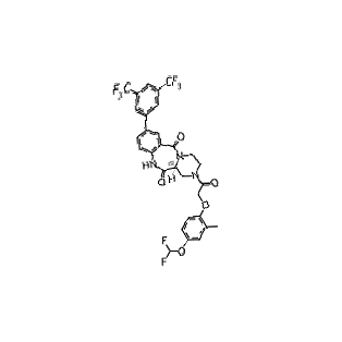 Cc1cc(OC(F)F)ccc1OCC(=O)N1CCN2C(=O)c3cc(-c4cc(C(F)(F)F)cc(C(F)(F)F)c4)ccc3NC(=O)[C@@H]2C1